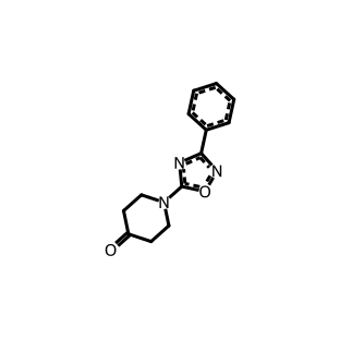 O=C1CCN(c2nc(-c3ccccc3)no2)CC1